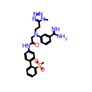 Cn1nnnc1CCN(CC(=O)Nc1ccc(-c2ccccc2S(C)(=O)=O)cc1)c1cccc(C(=N)N)c1